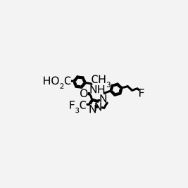 CC(NC(=O)c1c(C(F)(F)F)nn2c1N(Cc1ccc(CCCF)cc1)CC2)c1ccc(C(=O)O)cc1